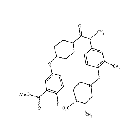 COC(=O)c1cc(OC2CCC(C(=O)N(C)c3ccc(CN4CCN(C(=O)O)[C@@H](C)C4)c(C)c3)CC2)ccc1F